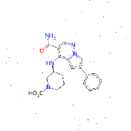 NC(=O)c1cnn2cc(-c3ccccc3)cc2c1N[C@H]1CCCN(C(=O)O)C1